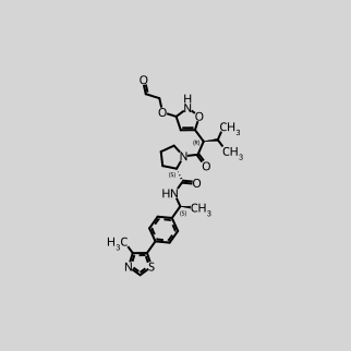 Cc1ncsc1-c1ccc([C@H](C)NC(=O)[C@@H]2CCCN2C(=O)[C@@H](C2=CC(OCC=O)NO2)C(C)C)cc1